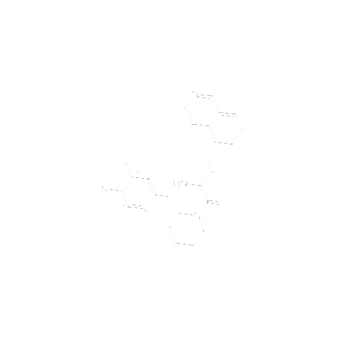 CC1CCN(C(=O)C(COc2cccc3cnccc23)NSc2cc(Cl)c(N)c(Cl)c2)CC1